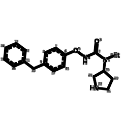 CCN(C(=O)NOc1ccc(Cc2ccccc2)cc1)C1CCNC1